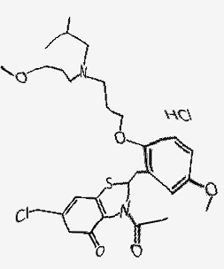 COCCN(CCCOc1ccc(OC)cc1C1SC2=C(C(=O)CC(Cl)=C2)N1C(C)=O)CC(C)C.Cl